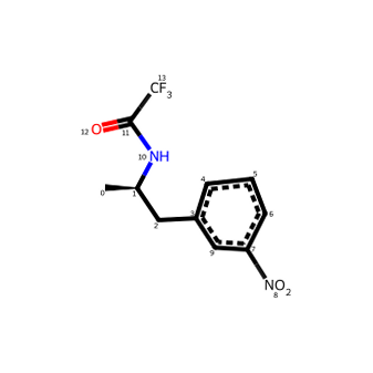 C[C@H](Cc1cccc([N+](=O)[O-])c1)NC(=O)C(F)(F)F